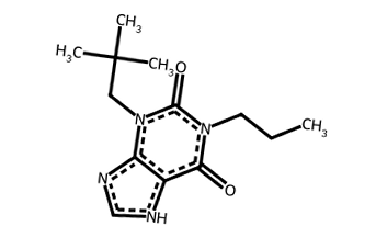 CCCn1c(=O)c2[nH]cnc2n(CC(C)(C)C)c1=O